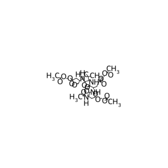 CC(=O)NC(CC(=O)OCOC(C)=O)C(=O)NC(CCC(=O)OCOC(C)=O)C(=O)NC(C(=O)NC(C=O)CC(=O)OCOC(C)=O)C(C)C